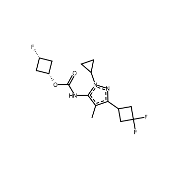 Cc1c(C2CC(F)(F)C2)nn(C2CC2)c1NC(=O)O[C@H]1C[C@@H](F)C1